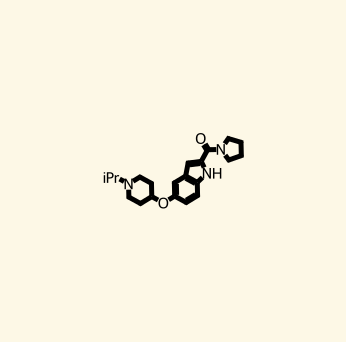 CC(C)N1CCC(Oc2ccc3[nH]c(C(=O)N4CCCC4)cc3c2)CC1